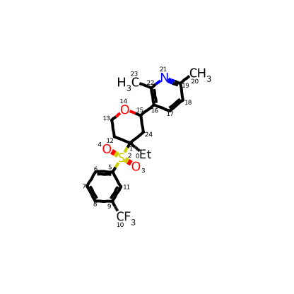 CCC1(S(=O)(=O)c2cccc(C(F)(F)F)c2)CCOC(c2ccc(C)nc2C)C1